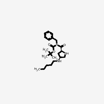 CCCCCN[C@@H]1CN[C@H](C(=O)N(Cc2ccccc2)C(=O)OC(C)(C)C)C1